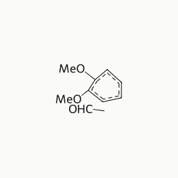 CC=O.COc1ccccc1OC